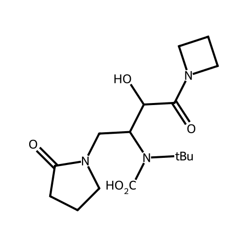 CC(C)(C)N(C(=O)O)C(CN1CCCC1=O)C(O)C(=O)N1CCC1